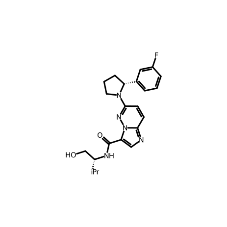 CC(C)[C@H](CO)NC(=O)c1cnc2ccc(N3CCC[C@@H]3c3cccc(F)c3)nn12